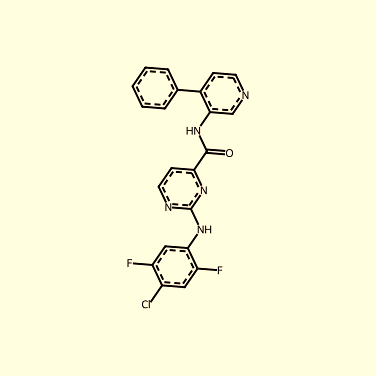 O=C(Nc1cnccc1-c1ccccc1)c1ccnc(Nc2cc(F)c(Cl)cc2F)n1